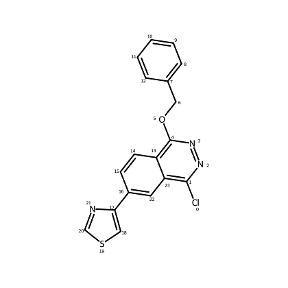 Clc1nnc(OCc2ccccc2)c2ccc(-c3cscn3)cc12